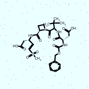 CC(C)(C)C(NC(=O)[C@H](CC(=O)O)NC(=O)OCc1ccccc1)C(=O)N1CC[C@@H]1C(=O)N[C@H](/C=C/S(C)(=O)=O)CC(=O)O